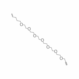 C#CCOCCOCCOCCOCCOCCOCCOCCCC=C